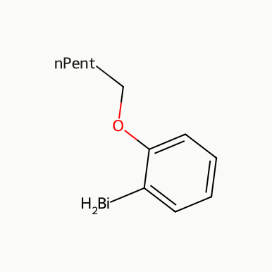 CCCCCCOc1cccc[c]1[BiH2]